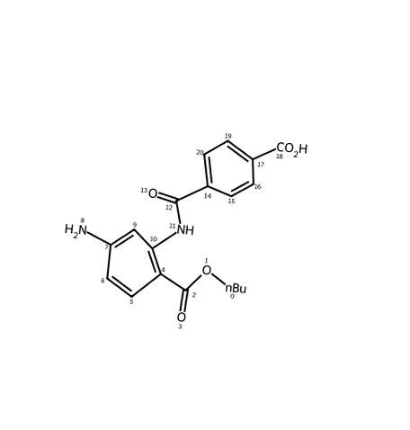 CCCCOC(=O)c1ccc(N)cc1NC(=O)c1ccc(C(=O)O)cc1